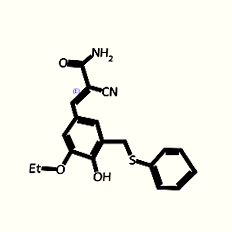 CCOc1cc(/C=C(\C#N)C(N)=O)cc(CSc2ccccc2)c1O